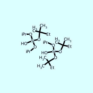 CCC(C)(C)O[Si](O)(OC(C)C)OC(C)(C)CC.CCC(C)(C)O[Si](O)(OC(C)C)OC(C)C